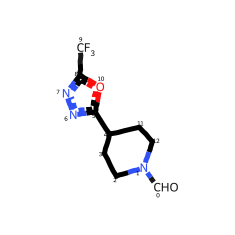 O=CN1CCC(c2nnc(C(F)(F)F)o2)CC1